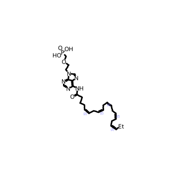 CC/C=C\C/C=C\C/C=C\C/C=C\C/C=C\CCCC(=O)Nc1ncnc2c1ncn2CCOCP(=O)(O)O